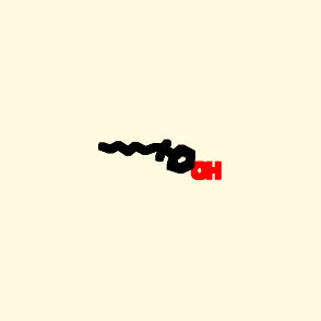 CCCCCCCC(C)(C)c1ccc(O)cc1